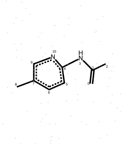 C=C(C)Nc1ccc(C)cn1